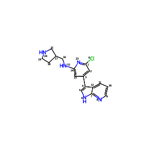 Clc1cc(-c2c[nH]c3ncccc23)cc(NCC2CCNC2)n1